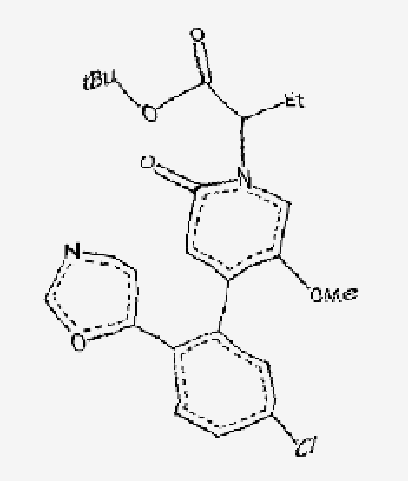 CCC(C(=O)OC(C)(C)C)n1cc(OC)c(-c2cc(Cl)ccc2-c2cnco2)cc1=O